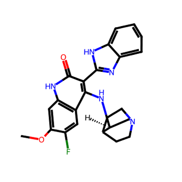 COc1cc2[nH]c(=O)c(-c3nc4ccccc4[nH]3)c(N[C@H]3CN4CCC3CC4)c2cc1F